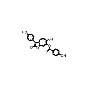 O=C(Oc1cc2oc(=O)c(-c3ccc(O)cc3)c-2ccc1S)c1ccc(O)cc1